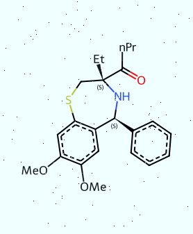 CCCC(=O)[C@@]1(CC)CSc2cc(OC)c(OC)cc2[C@H](c2ccccc2)N1